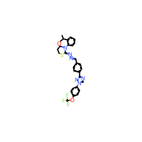 CC(C)c1ccccc1N1C(=O)CCSC1=NN=Cc1ccc(-c2ncn(-c3ccc(OC(F)(F)F)cc3)n2)cc1